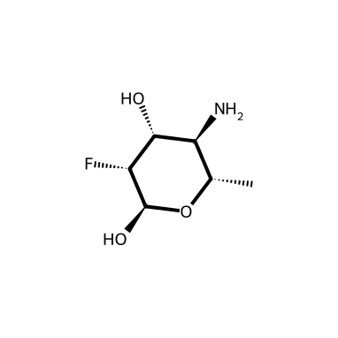 C[C@@H]1O[C@@H](O)[C@H](F)[C@H](O)[C@H]1N